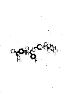 CC(C)(C)OC(=O)N1CCC(COCC(NC(=O)c2ccc3c(Cl)c[nH]c3c2)c2ccc(F)cc2)CC1